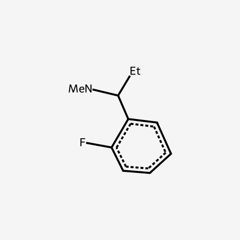 CCC(NC)c1ccccc1F